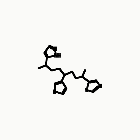 CC(CCC(CCC(C)c1cncs1)c1ccsc1)c1ccn[nH]1